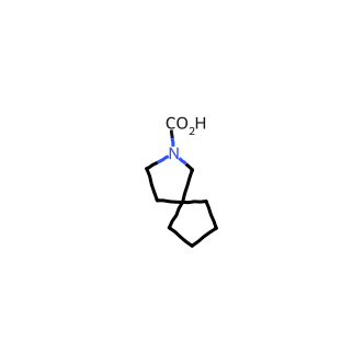 O=C(O)N1CCC2(CCCC2)C1